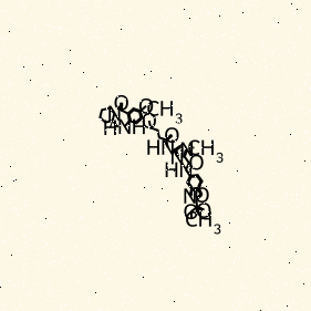 COC(=O)c1nc2cc(NC(=O)c3nc(NC(=O)CCCOc4cc5c(cc4OC)C(=O)N4CCCC[C@H]4CN5)cn3C)ccc2o1